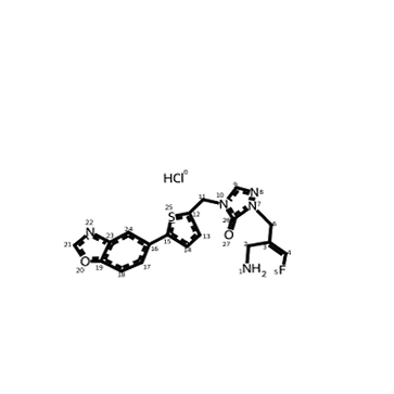 Cl.NC/C(=C\F)Cn1ncn(Cc2ccc(-c3ccc4ocnc4c3)s2)c1=O